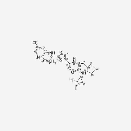 Cc1ncc(Cl)cc1NC(C)c1ccc(C(=O)N[C@@H](CC2CCCC2)C(=O)NC2CC2(F)F)s1